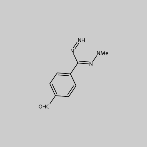 CN/N=C(\N=N)c1ccc(C=O)cc1